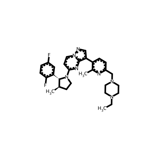 CCN1CCN(Cc2ccc(-c3cnn4ccc(N5CC[C@@H](C)[C@@H]5c5cc(F)ccc5F)nc34)c(C)n2)CC1